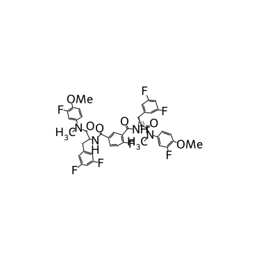 COc1ccc(N(C)C(=O)C(Cc2cc(F)cc(F)c2)NC(=O)c2ccc(F)c(C(=O)N[C@@H](Cc3cc(F)cc(F)c3)C(=O)N(C)c3ccc(OC)c(F)c3)c2)cc1F